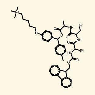 Cc1ccc(C(OC(=O)C(C)NC(=O)C(CC(C)C)NC(=O)C(NC(=O)OCC2c3ccccc3-c3ccccc32)C(C)C)c2ccc(OCCCCC[N+](C)(C)C)cc2)cc1